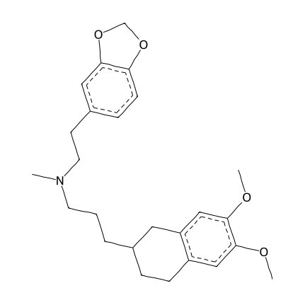 COc1cc2c(cc1OC)CC(CCCN(C)CCc1ccc3c(c1)OCO3)CC2